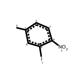 Cc1ccc([N+](=O)[O-])c(I)c1